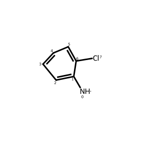 [NH]c1ccccc1Cl